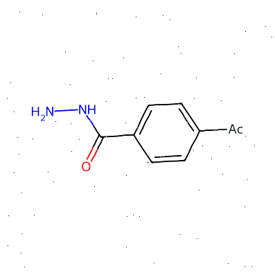 CC(=O)c1c[c]c(C(=O)NN)cc1